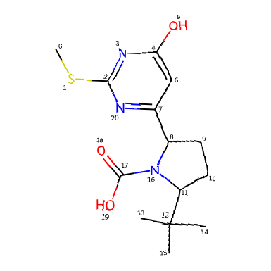 CSc1nc(O)cc(C2CCC(C(C)(C)C)N2C(=O)O)n1